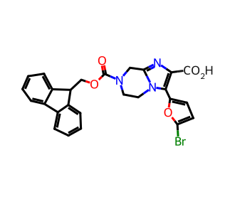 O=C(O)c1nc2n(c1-c1ccc(Br)o1)CCN(C(=O)OCC1c3ccccc3-c3ccccc31)C2